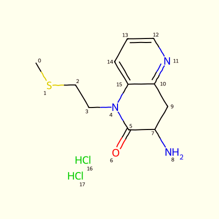 CSCCN1C(=O)C(N)Cc2ncccc21.Cl.Cl